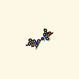 C=Cc1ccc(C2(c3cc(C)ccc3C)c3ccccc3-c3ccc(N(c4ccc(-c5ccc(N(c6ccc7c8c6-c6ccc(C)cc6C8(c6ccc(C=C)cc6)c6ccccc6-7)c6c(F)cc(F)cc6F)cc5)cc4)c4c(F)cc(F)cc4F)cc32)cc1